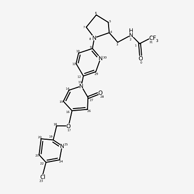 O=C(NCC1CCCN1c1ccc(-n2ccc(OCc3ccc(Cl)cn3)cc2=O)cn1)C(F)(F)F